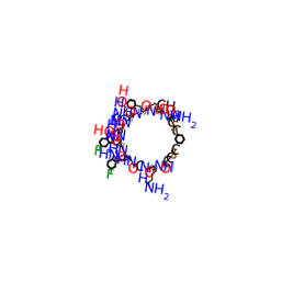 CC[C@@]12CCCN1C(=O)[C@H](Cc1ccc(O)cc1)NC(=O)[C@H](Cc1cnc[nH]1)NC(=O)[C@H](CC(=O)O)NC(=O)[C@H](Cc1c[nH]c3ccc(F)cc13)NC(=O)[C@H](Cc1c[nH]c3ccc(F)cc13)NC(=O)CNC(=O)[C@H](CCCCN)NC(=O)CCSCc1cccc(c1)CSC[C@@H](C(N)O)NC2=O